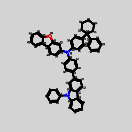 c1ccc(-n2c3ccccc3c3ccc(-c4ccc(N(c5ccc(C6(c7ccccc7)CCCCC6)cc5)c5ccc6c(c5)oc5ccccc56)cc4)cc32)cc1